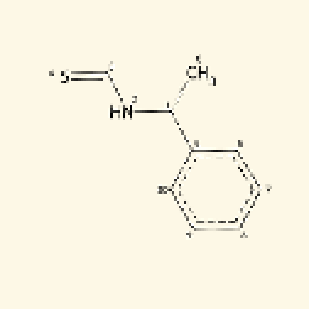 C[C@@H](NC=S)c1ccccc1